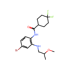 COC(C)CNc1cc(Br)ccc1NC(=O)C1CCC(F)(F)CC1